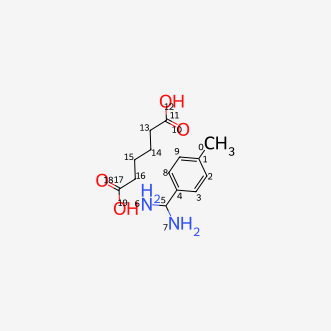 Cc1ccc(C(N)N)cc1.O=C(O)CCCCC(=O)O